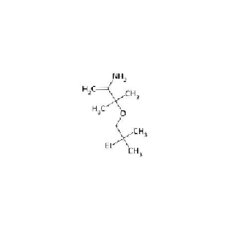 C=C(N)C(C)(C)OCC(C)(C)CC